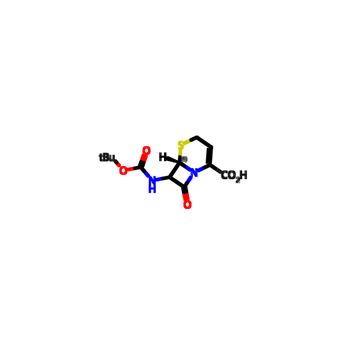 CC(C)(C)OC(=O)NC1C(=O)N2C(C(=O)O)=CCS[C@@H]12